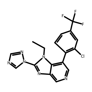 CCn1c(-n2cncn2)nc2cncc(-c3ccc(C(F)(F)F)cc3Cl)c21